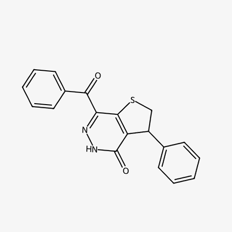 O=C(c1ccccc1)c1n[nH]c(=O)c2c1SCC2c1ccccc1